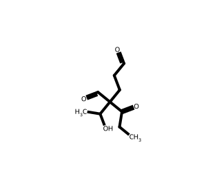 CCC(=O)C(C=O)(CCC=O)C(C)O